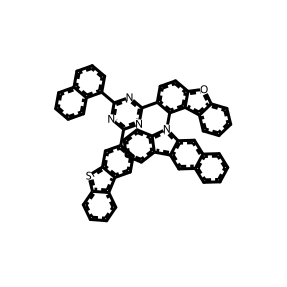 c1ccc2cc3c(cc2c1)c1ccccc1n3-c1c(-c2nc(-c3ccc4c(c3)sc3ccccc34)nc(-c3cccc4ccccc34)n2)ccc2oc3ccccc3c12